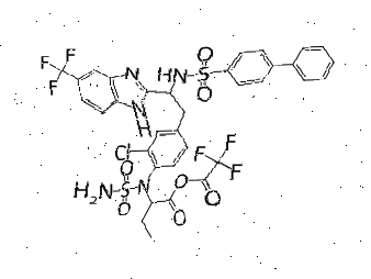 CCC(C(=O)OC(=O)C(F)(F)F)N(c1ccc(CC(NS(=O)(=O)c2ccc(-c3ccccc3)cc2)c2nc3cc(C(F)(F)F)ccc3[nH]2)cc1Cl)S(N)(=O)=O